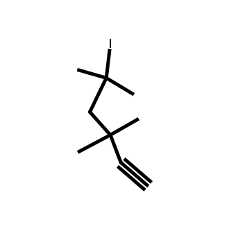 C#CC(C)(C)CC(C)(C)I